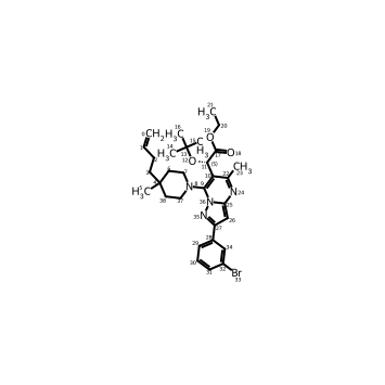 C=CCCC1(C)CCN(c2c([C@H](OC(C)(C)C)C(=O)OCC)c(C)nc3cc(-c4cccc(Br)c4)nn23)CC1